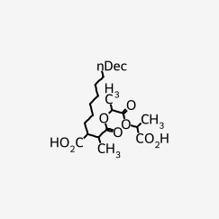 CCCCCCCCCCCCCCCCC(C(=O)O)C(C)C(=O)OC(C)C(=O)OC(C)C(=O)O